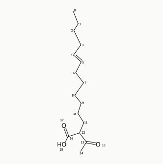 CCCCC=CCCCCCCC(C(C)=O)C(=O)O